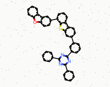 c1ccc(-c2nc(-c3ccccc3)nc(-c3cccc(-c4ccc5c(c4)sc4c(-c6ccc7oc8ccccc8c7c6)cccc45)c3)n2)cc1